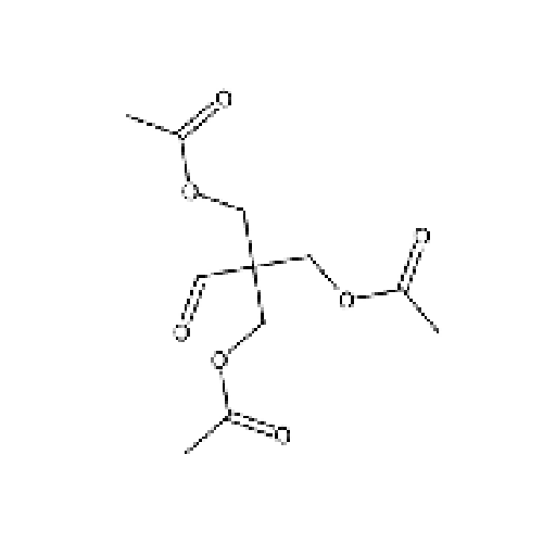 CC(=O)OCC(C=O)(COC(C)=O)COC(C)=O